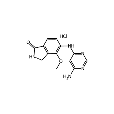 COc1c(Nc2cc(N)ncn2)ccc2c1CNC2=O.Cl